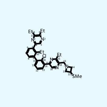 CCc1ncc(-c2cccc(-c3cccc(-c4cnc(CN5CC(SC)C5)c(CC)n4)c3Cl)c2CC)nc1CC